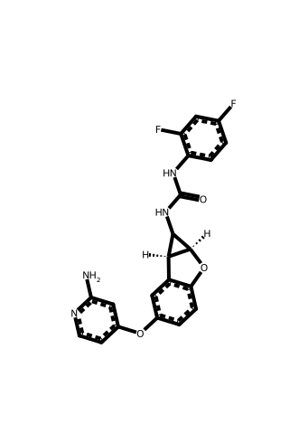 Nc1cc(Oc2ccc3c(c2)[C@H]2C(NC(=O)Nc4ccc(F)cc4F)[C@H]2O3)ccn1